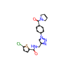 O=C(NCc1cn(-c2ccc(C(=O)N3CC=CC3)cc2)nn1)c1ccc(Cl)s1